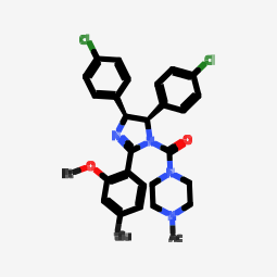 CCOc1cc(C(C)(C)C)ccc1C1=N[C@@H](c2ccc(Cl)cc2)[C@@H](c2ccc(Cl)cc2)N1C(=O)N1CCN(C(C)=O)CC1